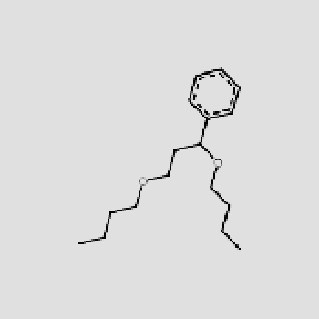 CCCCOCCC(OCCCC)c1ccccc1